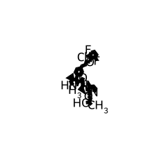 Cc1c(CN(C(=O)C2=C(c3ccc(CCCOc4c(F)ccc(F)c4Cl)cc3)C3(CC3)CNC2)C2CC2)ccnc1OCC(C)O